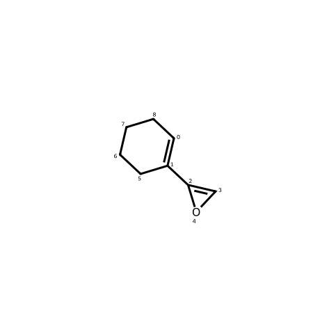 C1=C(C2=CO2)CCCC1